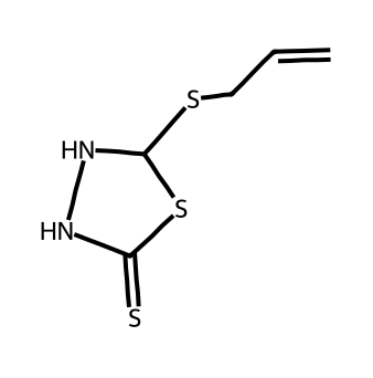 C=CCSC1NNC(=S)S1